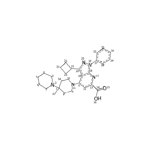 CC1(N2CCCCC2)CCN(c2cc(C(=O)O)nc3c2c(C2CCC2)nn3-c2ccccc2)CC1